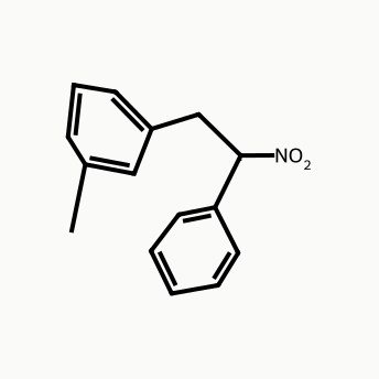 Cc1cccc(C[C](c2ccccc2)[N+](=O)[O-])c1